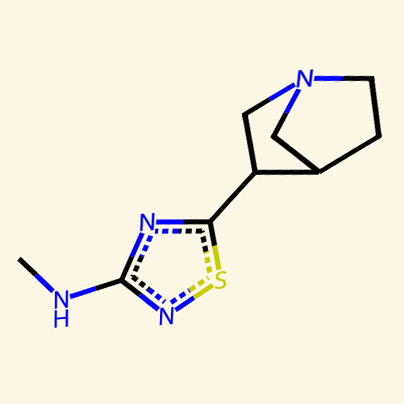 CNc1nsc(C2CN3CCC2C3)n1